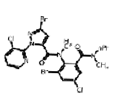 CCCN(C)C(=O)c1cc(Cl)cc(Br)c1N(C)C(=O)c1cc(Br)nn1-c1ncccc1Cl